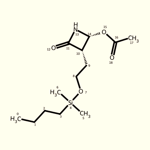 CCCC[Si](C)(C)OCC[C@@H]1C(=O)N[C@@H]1OC(C)=O